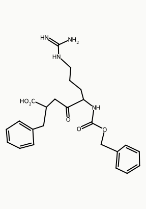 N=C(N)NCCCC(NC(=O)OCc1ccccc1)C(=O)CC(Cc1ccccc1)C(=O)O